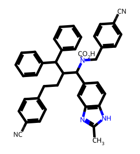 Cc1nc2cc(C(C(CCc3ccc(C#N)cc3)C(c3ccccc3)c3ccccc3)N(Cc3ccc(C#N)cc3)C(=O)O)ccc2[nH]1